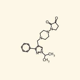 CC(C)n1cc(CN2CCN(N3CCC(=O)C3=O)CC2)c(-c2ccccc2)n1